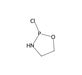 ClP1NCCO1